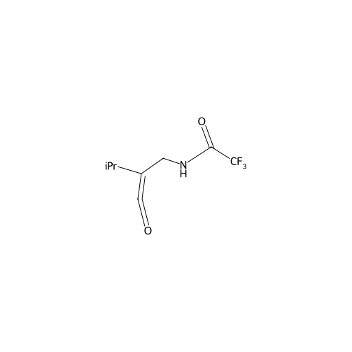 CC(C)C(=C=O)CNC(=O)C(F)(F)F